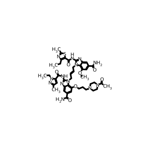 CCc1nc(C)sc1C(=O)Nc1nc2cc(C(N)=O)cc(OC)c2n1C/C=C/Cn1c(NC(=O)c2cc(C)nn2CC)nc2cc(C(N)=O)cc(OCCCN3CCN(C(C)=O)CC3)c21